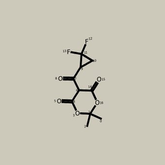 CC1(C)OC(=O)C(C(=O)C2CC2(F)F)C(=O)O1